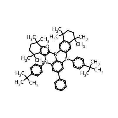 CC(C)(C)c1ccc(N2c3cc4c(cc3B3c5oc6c(c5N(c5ccc(C(C)(C)C)cc5)c5cc(-c7ccccc7)cc2c53)C(C)(C)CCC6(C)C)C(C)(C)CCC4(C)C)cc1